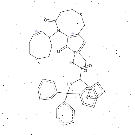 O=C(ONC(=O)C(NC(c1ccccc1)(c1ccccc1)c1ccccc1)c1cscn1)/C1=C(\C=CCCl)CSCCC(=O)N1C1/C=C\CCCCC1